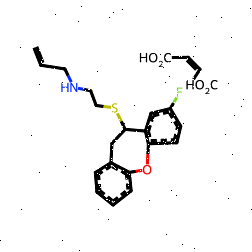 C=CCNCCSC1Cc2ccccc2Oc2ccc(F)cc21.O=C(O)/C=C\C(=O)O